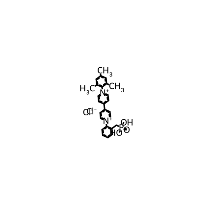 Cc1cc(C)c(-[n+]2ccc(-c3cc[n+](-c4ccccc4CP(=O)(O)O)cc3)cc2)c(C)c1.[Cl-].[Cl-]